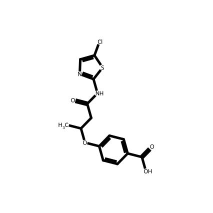 CC(CC(=O)Nc1ncc(Cl)s1)Oc1ccc(C(=O)O)cc1